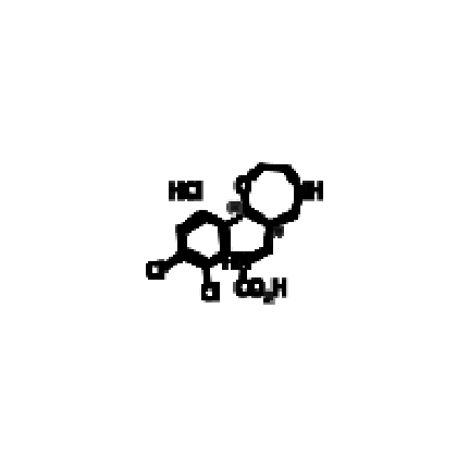 Cl.O=C(O)NC[C@@H]1CNCCO[C@H]1c1ccc(Cl)c(Cl)c1